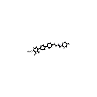 COc1ccc(-c2ccc(C3CCC(CC/C=C/C4CCC(C)CC4)CC3)cc2)c(F)c1F